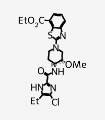 CCOC(=O)c1cccc2nc(N3CC[C@@H](NC(=O)c4nc(Cl)c(CC)[nH]4)[C@@H](OC)C3)sc12